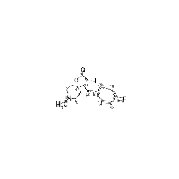 CN1CCC2(CC1)OC(=O)N[C@H]2Cc1ccc(F)cc1